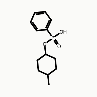 CC1CCC(OP(=O)(O)c2ccccc2)CC1